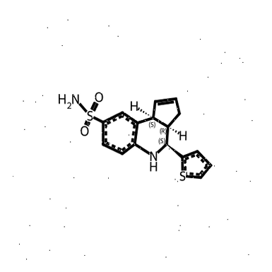 NS(=O)(=O)c1ccc2c(c1)[C@H]1C=CC[C@H]1[C@@H](c1cccs1)N2